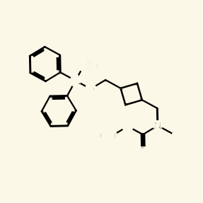 CN(CC1CC(CO[Si](c2ccccc2)(c2ccccc2)C(C)(C)C)C1)C(=O)OC(C)(C)C